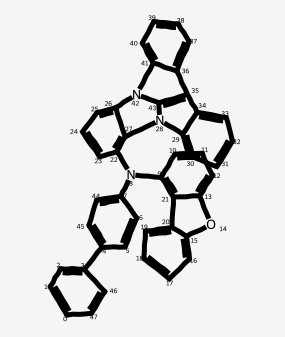 c1ccc(-c2ccc(N(c3cccc4oc5ccccc5c34)c3cccc4c3n3c5ccccc5c5c6ccccc6n4c53)cc2)cc1